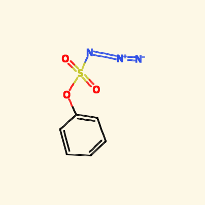 [N-]=[N+]=NS(=O)(=O)Oc1ccccc1